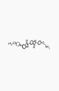 CN1CCN(c2ccc3nc(-c4ccc5nc(-c6ccc(OCCN)cc6)[nH]c5c4)[nH]c3c2)CC1